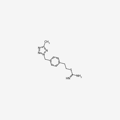 Cc1nnn(Cc2ccc(CCSC(=N)N)cc2)n1